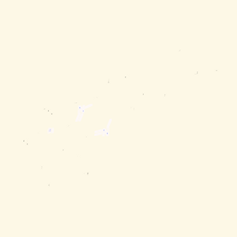 [C-]#[N+]/C(C#N)=C1\c2ccccc2-c2nc3cc(-c4ccc(C(F)(F)F)cc4)ccc3nc21